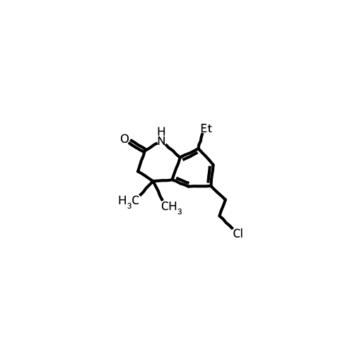 CCc1cc(CCCl)cc2c1NC(=O)CC2(C)C